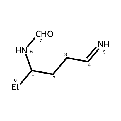 CCC(CCC=N)NC=O